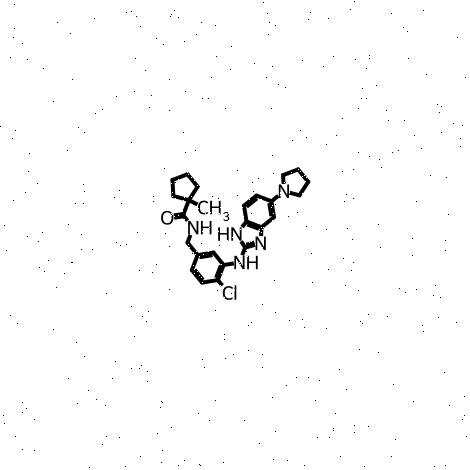 CC1(C(=O)NCc2ccc(Cl)c(Nc3nc4cc(N5CCCC5)ccc4[nH]3)c2)CCCC1